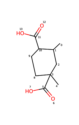 CC1CC(C)(C(=O)O)CCC1C(=O)O